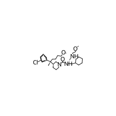 COCCCC[C@@](C)(c1cccc(Cl)c1)[C@@H]1CCCN(C(=O)N[C@H](CNCCOC)CC2CCCCC2)C1